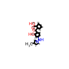 CC1CCN(Nc2ccc(C(=O)c3ccccc3C(=O)O)c(O)c2)C1